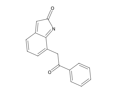 O=C1C=c2cccc(CC(=O)c3ccccc3)c2=N1